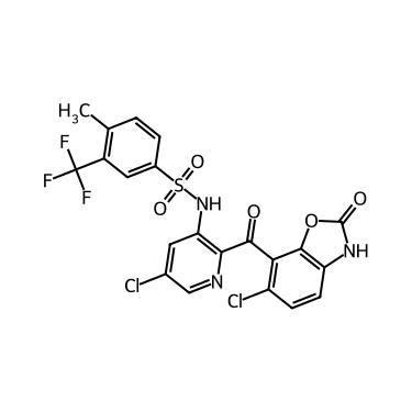 Cc1ccc(S(=O)(=O)Nc2cc(Cl)cnc2C(=O)c2c(Cl)ccc3[nH]c(=O)oc23)cc1C(F)(F)F